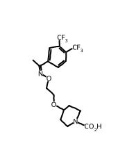 C/C(=N/OCCOC1CCN(C(=O)O)CC1)c1ccc(C(F)(F)F)c(C(F)(F)F)c1